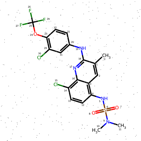 Cc1cc2c(NS(=O)(=O)N(C)C)ccc(Cl)c2nc1Nc1ccc(OC(F)(F)F)c(Cl)c1